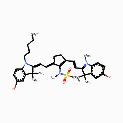 CCCCC[N+]1=C(/C=C/C2=C(N(C)S(=O)(=O)C(F)(F)F)C(=C/C=C3/N(CCCCS(=O)(=O)O)c4ccc(Br)cc4C3(C)C)/CC2)C(C)(C)c2cc(Br)ccc21